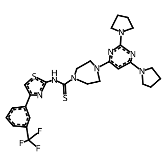 FC(F)(F)c1cccc(-c2csc(NC(=S)N3CCN(c4cc(N5CCCC5)nc(N5CCCC5)n4)CC3)n2)c1